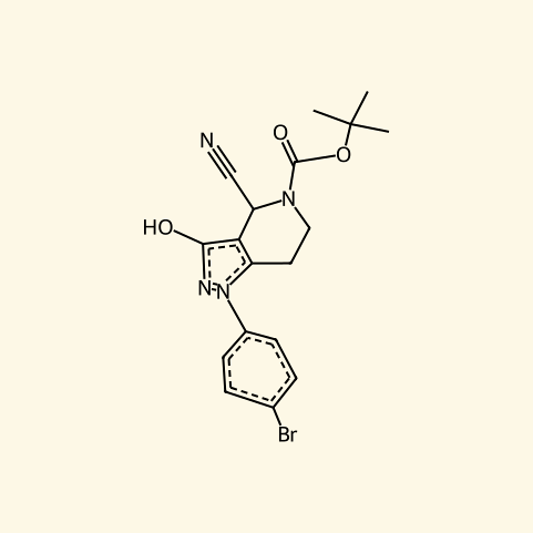 CC(C)(C)OC(=O)N1CCc2c(c(O)nn2-c2ccc(Br)cc2)C1C#N